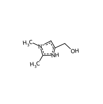 Cc1[nH]c(CO)c[n+]1C